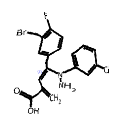 C=C(/C=C(/c1ccc(F)c(Br)c1)N(N)c1cccc(Cl)c1)C(=O)O